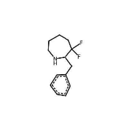 FC1(F)CCCCNC1Cc1ccccc1